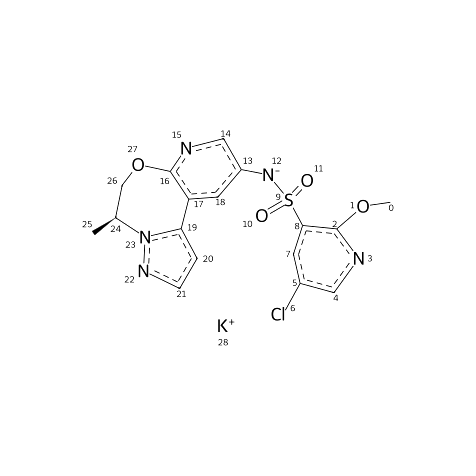 COc1ncc(Cl)cc1S(=O)(=O)[N-]c1cnc2c(c1)-c1ccnn1[C@@H](C)CO2.[K+]